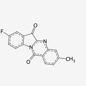 Cc1ccc2c(=O)n3c(nc2c1)C(=O)c1cc(F)ccc1-3